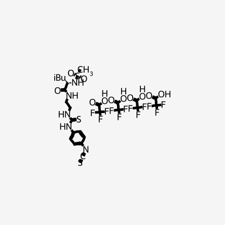 CC[C@H](C)[C@H](NS(C)(=O)=O)C(=O)NCCNC(=S)Nc1ccc(N=C=S)cc1.O=C(O)C(F)(F)F.O=C(O)C(F)(F)F.O=C(O)C(F)(F)F.O=C(O)C(F)(F)F